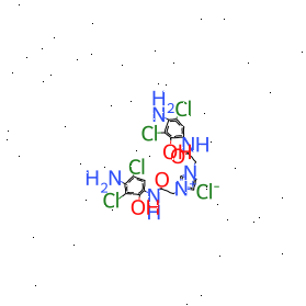 Nc1c(Cl)cc(NC(=O)Cn2cc[n+](CC(=O)Nc3cc(Cl)c(N)c(Cl)c3O)c2)c(O)c1Cl.[Cl-]